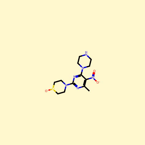 Cc1nc(N2CC[S+]([O-])CC2)nc(N2CCNCC2)c1[N+](=O)[O-]